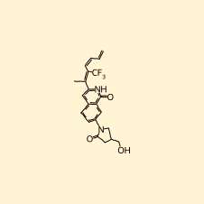 C=C/C=C\C(=C(/C)c1cc2ccc(N3CC(CO)CC3=O)cc2c(=O)[nH]1)C(F)(F)F